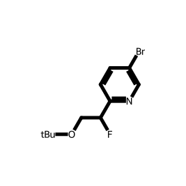 CC(C)(C)OCC(F)c1ccc(Br)cn1